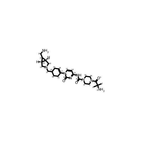 CC(C)(N)C(=O)N1CCN(C(=O)Nc2ccn(C3=CCC(CN4C[C@@H]5C(CN)[C@@H]5C4)CC3)c(=O)n2)CC1